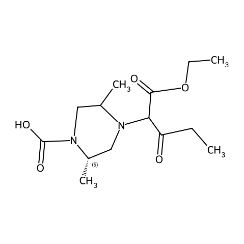 CCOC(=O)C(C(=O)CC)N1C[C@H](C)N(C(=O)O)CC1C